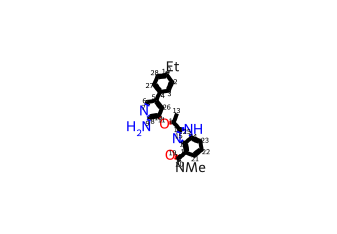 CCc1ccc(-c2cnc(N)c(OC(C)c3nc4c(C(=O)NC)cccc4[nH]3)c2)cc1